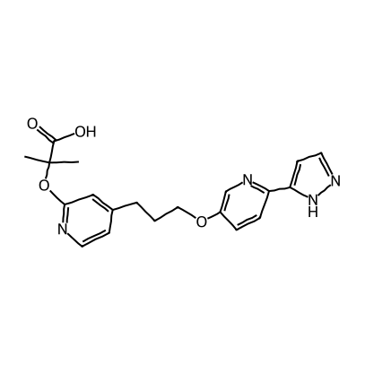 CC(C)(Oc1cc(CCCOc2ccc(-c3ccn[nH]3)nc2)ccn1)C(=O)O